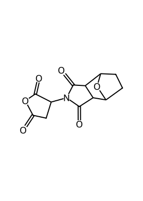 O=C1CC(N2C(=O)C3C4CCC(O4)C3C2=O)C(=O)O1